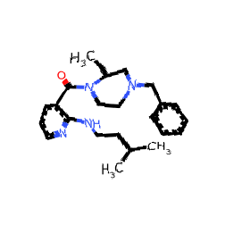 CC(C)CCNc1ncccc1C(=O)N1CCN(Cc2ccccc2)CC1C